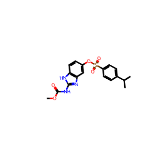 COC(=O)Nc1nc2cc(OS(=O)(=O)c3ccc(C(C)C)cc3)ccc2[nH]1